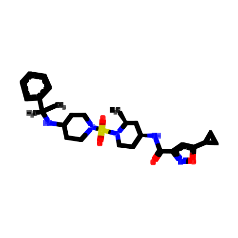 C[C@H]1C[C@@H](NC(=O)c2cc(C3CC3)on2)CCN1S(=O)(=O)N1CCC(NC(C)(C)c2ccccc2)CC1